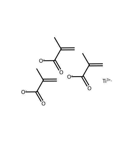 C=C(C)C(=O)[O-].C=C(C)C(=O)[O-].C=C(C)C(=O)[O-].[Ti+3]